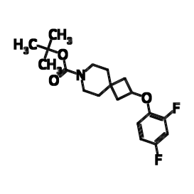 CC(C)(C)OC(=O)N1CCC2(CC1)CC(Oc1ccc(F)cc1F)C2